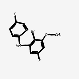 COc1cc(F)cc(Nc2ccc(F)cc2)c1Br